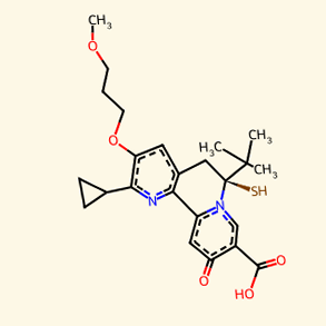 COCCCOc1cc2c(nc1C1CC1)-c1cc(=O)c(C(=O)O)cn1[C@@](S)(C(C)(C)C)C2